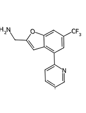 NCc1cc2c(-c3cc[c]cn3)cc(C(F)(F)F)cc2o1